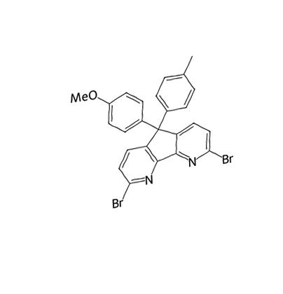 COc1ccc(C2(c3ccc(C)cc3)c3ccc(Br)nc3-c3nc(Br)ccc32)cc1